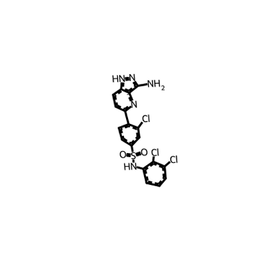 Nc1n[nH]c2ccc(-c3ccc(S(=O)(=O)Nc4cccc(Cl)c4Cl)cc3Cl)nc12